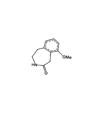 COc1cccc2c1CC(=O)NCC2